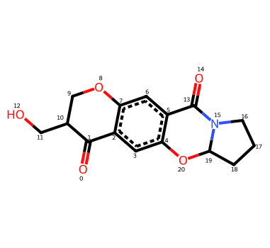 O=C1c2cc3c(cc2OCC1CO)C(=O)N1CCCC1O3